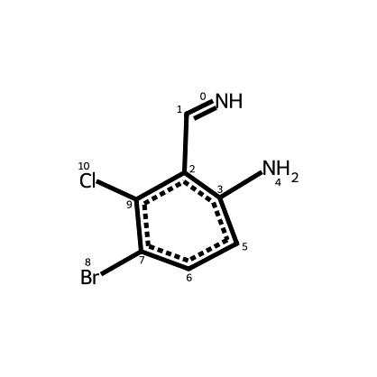 N=Cc1c(N)ccc(Br)c1Cl